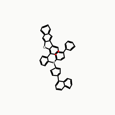 c1ccc(-c2ccc(N(c3ccc(-c4cccc5ccccc45)cc3)c3ccccc3-c3cccc4c3oc3cc5ccccc5cc34)cc2)cc1